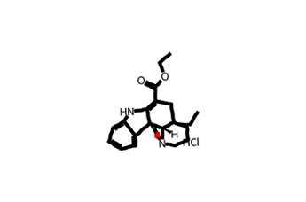 CCOC(=O)C1=C2Nc3ccccc3[C@]23CCN2CCC[C@@](CC)(C1)[C@H]23.Cl